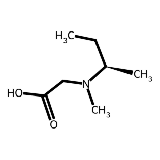 CC[C@@H](C)N(C)CC(=O)O